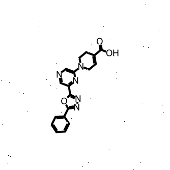 O=C(O)C1=CCN(c2cncc(-c3nnc(-c4ccccc4)o3)n2)CC1